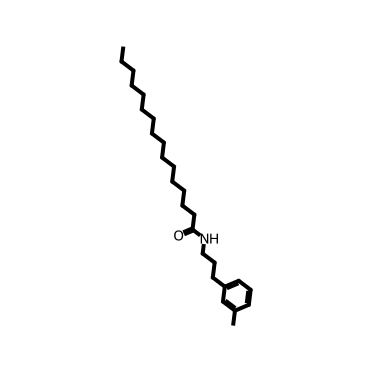 CCCCCCCCCCCCCCCC(=O)NCCCc1cccc(C)c1